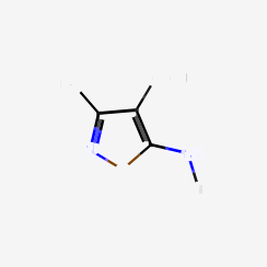 Cc1nsc(NC(C)C)c1C(=O)O